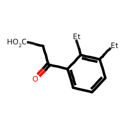 CCc1cccc(C(=O)CC(=O)O)c1CC